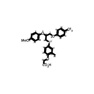 COc1ccc(OC(COc2ccc(C(F)(F)F)cc2)CSc2ccc(OCC(=O)O)c(C)c2)cc1